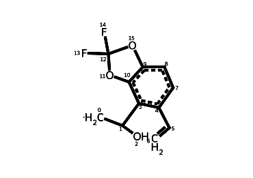 [CH2]C(O)c1c(C=C)ccc2c1OC(F)(F)O2